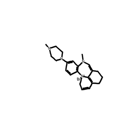 CN1CCN(c2ccc3c(c2)N(C)C=C2CCCC4=C2[N+]3(Br)CC=C4)CC1